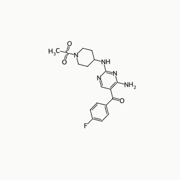 CS(=O)(=O)N1CCC(Nc2ncc(C(=O)c3ccc(F)cc3)c(N)n2)CC1